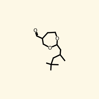 CC(CC1OCCC(C=O)CO1)CC(C)(C)C